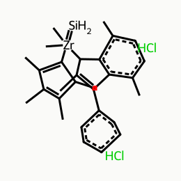 CC1=C(C)C(C)[C]([Zr]([CH3])([CH3])(=[SiH2])[CH]2C(C)=C(c3ccccc3)c3c(C)ccc(C)c32)=C1C.Cl.Cl